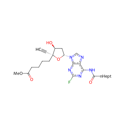 C#C[C@@]1(CCCCC(=O)OC)O[C@@H](n2cnc3c(NC(=O)CCCCCCC)nc(F)nc32)C[C@@H]1O